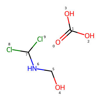 O=C(O)O.OCNC(Cl)Cl